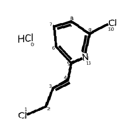 Cl.ClCC=Cc1cccc(Cl)n1